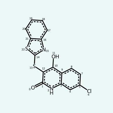 O=c1[nH]c2cc(Cl)ccc2c(O)c1Sc1nc2ccccc2s1